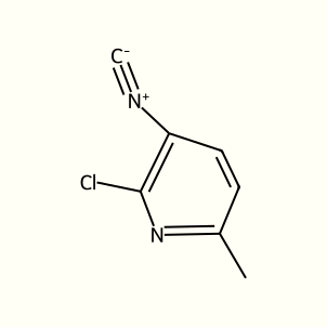 [C-]#[N+]c1ccc(C)nc1Cl